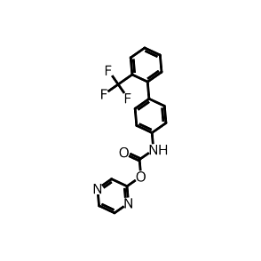 O=C(Nc1ccc(-c2ccccc2C(F)(F)F)cc1)Oc1cnccn1